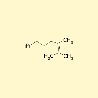 CC(C)=C(C)CCCC(C)C